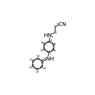 N#CCCNc1ccc(Nc2ccccc2)cc1